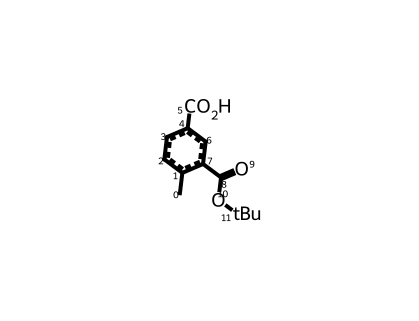 Cc1ccc(C(=O)O)cc1C(=O)OC(C)(C)C